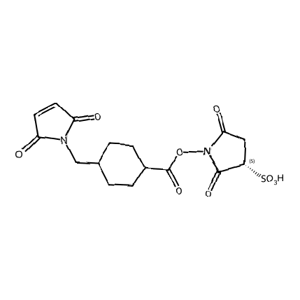 O=C(ON1C(=O)C[C@H](S(=O)(=O)O)C1=O)C1CCC(CN2C(=O)C=CC2=O)CC1